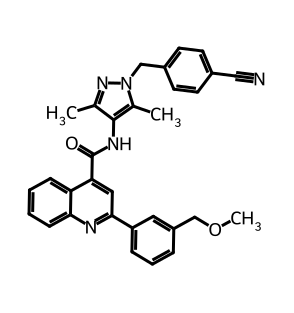 COCc1cccc(-c2cc(C(=O)Nc3c(C)nn(Cc4ccc(C#N)cc4)c3C)c3ccccc3n2)c1